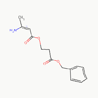 C/C(N)=C/C(=O)OCCC(=O)OCc1ccccc1